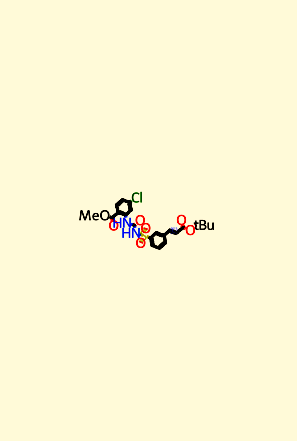 COC(=O)c1ccc(Cl)cc1NC(=O)NS(=O)(=O)c1cccc(/C=C/C(=O)OC(C)(C)C)c1